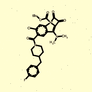 CN(C)C1=C2C(=O)C(=O)[N+]2(C(=O)OC(C)(C)C)c2cc(Cl)c(C(=O)N3CCC(Cc4ccc(F)cc4)CC3)cc21